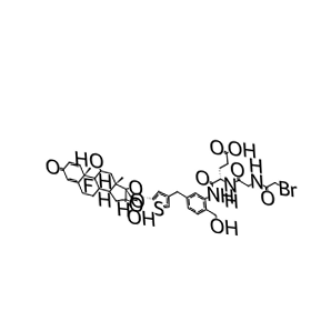 C[C@]12C=CC(=O)C=C1CC[C@H]1[C@@H]3C[C@H]4O[C@@H](c5cc(Cc6ccc(CO)c(NC(=O)[C@H](CCC(=O)O)NC(=O)CNC(=O)CBr)c6)cs5)O[C@@]4(C(=O)CO)[C@@]3(C)C[C@H](O)[C@@]12F